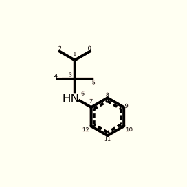 CC(C)C(C)(C)Nc1ccccc1